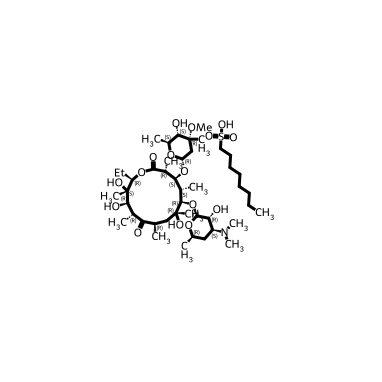 CCCCCCCCS(=O)(=O)O.CC[C@H]1OC(=O)[C@H](C)[C@@H](O[C@H]2C[C@@](C)(OC)[C@@H](O)[C@H](C)O2)[C@H](C)[C@@H](O[C@@H]2O[C@H](C)C[C@H](N(C)C)[C@H]2O)[C@](C)(O)C[C@@H](C)C(=O)[C@H](C)[C@@H](O)[C@]1(C)O